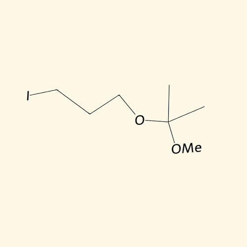 COC(C)(C)OCCCI